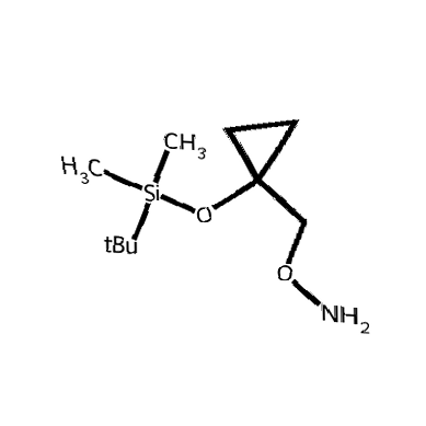 CC(C)(C)[Si](C)(C)OC1(CON)CC1